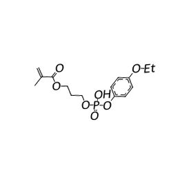 C=C(C)C(=O)OCCCOP(=O)(O)Oc1ccc(OCC)cc1